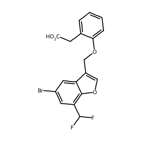 O=C(O)Cc1ccccc1OCc1coc2c(C(F)F)cc(Br)cc12